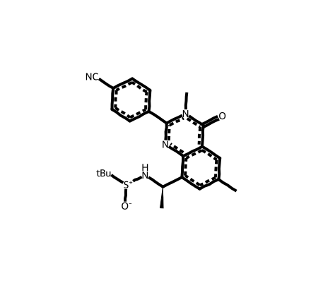 Cc1cc([C@@H](C)N[S+]([O-])C(C)(C)C)c2nc(-c3ccc(C#N)cc3)n(C)c(=O)c2c1